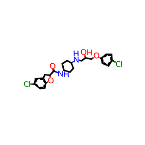 O=C(N[C@H]1CC[C@H](NCC(O)COc2ccc(Cl)cc2)CC1)C1Cc2cc(Cl)ccc2O1